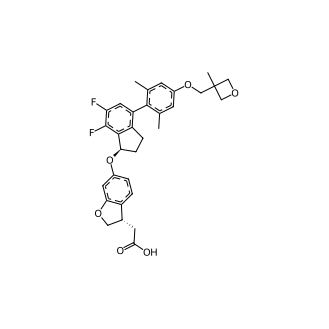 Cc1cc(OCC2(C)COC2)cc(C)c1-c1cc(F)c(F)c2c1CC[C@H]2Oc1ccc2c(c1)OC[C@H]2CC(=O)O